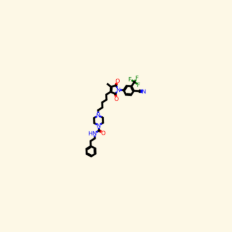 CC1=C(CCCCCN2CCN(C(=O)NCCc3ccccc3)CC2)C(=O)N(c2ccc(C#N)c(C(F)(F)F)c2)C1=O